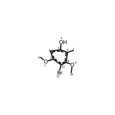 COc1cc(O)c(C)c(OC)c1Br